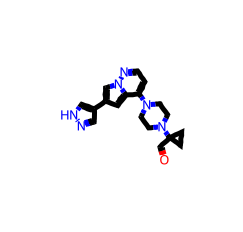 O=CC1(N2CCN(c3ccnn4cc(-c5cn[nH]c5)cc34)CC2)CC1